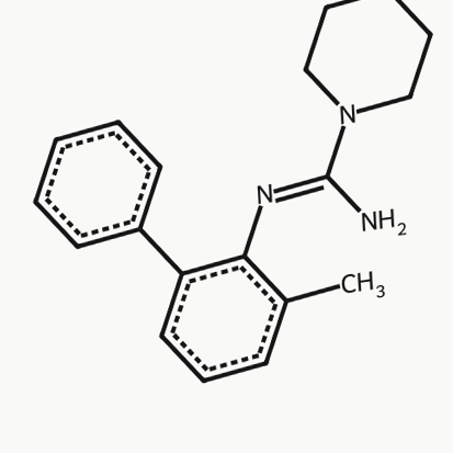 Cc1cccc(-c2ccccc2)c1N=C(N)N1CCCCC1